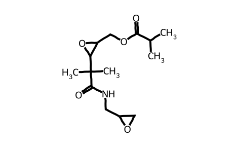 CC(C)C(=O)OCC1OC1C(C)(C)C(=O)NCC1CO1